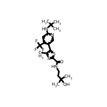 Cc1nc(C(=O)NCCC(C)(C)O)sc1-c1cnc(NC(C)(C)C)cc1C(F)(F)F